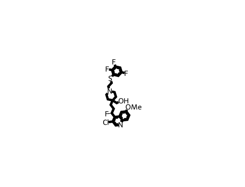 COc1ccc2ncc(Cl)c([C@H](F)CCC3(CO)CCN(CCSc4cc(F)cc(F)c4F)CC3)c2c1